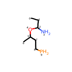 CCC(N)OC(C)CCP